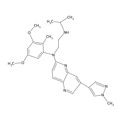 COc1cc(OC)c(C)c(N(CCNC(C)C)c2ccc3ncc(-c4cnn(C)c4)cc3n2)c1